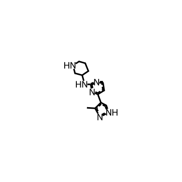 Cc1n[nH]cc1-c1ccnc(NC2CCCNC2)n1